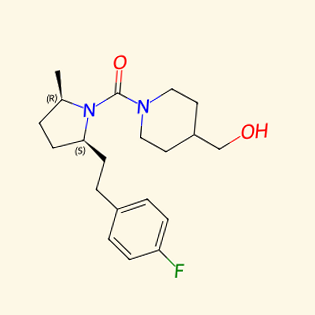 C[C@@H]1CC[C@H](CCc2ccc(F)cc2)N1C(=O)N1CCC(CO)CC1